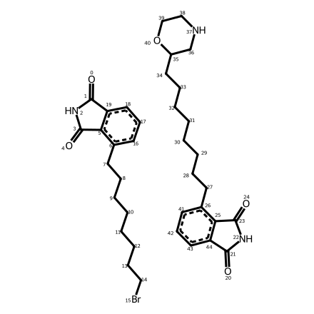 O=C1NC(=O)c2c(CCCCCCCCBr)cccc21.O=C1NC(=O)c2c(CCCCCCCCC3CNCCO3)cccc21